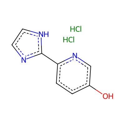 Cl.Cl.Oc1ccc(-c2ncc[nH]2)nc1